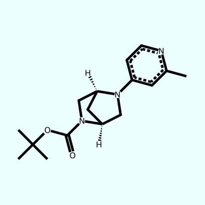 Cc1cc(N2C[C@@H]3C[C@H]2CN3C(=O)OC(C)(C)C)ccn1